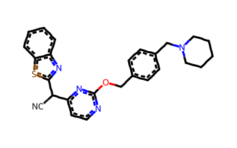 N#CC(c1ccnc(OCc2ccc(CN3CCCCC3)cc2)n1)c1nc2ccccc2s1